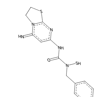 N=c1cc(NC(=O)N(S)Cc2ccccc2)nc2n1CCS2